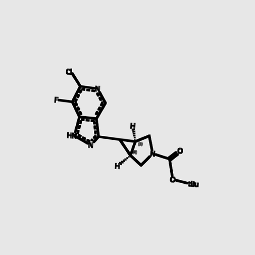 CC(C)(C)OC(=O)N1C[C@@H]2C(c3n[nH]c4c(F)c(Cl)ncc34)[C@@H]2C1